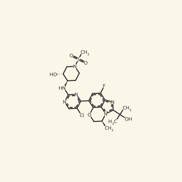 C[C@H]1COc2c(-c3nc(N[C@@H]4CCN(S(C)(=O)=O)C[C@H]4O)ncc3Cl)cc(F)c3nc(C(C)(C)O)n1c23